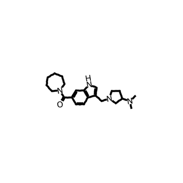 CN(C)C1CCN(Cc2c[nH]c3cc(C(=O)N4CCCCCC4)ccc23)C1